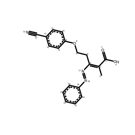 CC(C(=O)O)=C(CCOc1ccc(C#N)cc1)N=Nc1ccccc1